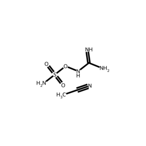 CC#N.N=C(N)NOS(N)(=O)=O